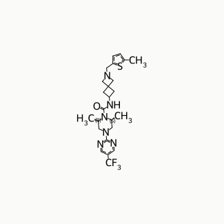 Cc1ccc(CN2CC3(CC(NC(=O)N4[C@H](C)CN(c5ncc(C(F)(F)F)cn5)C[C@@H]4C)C3)C2)s1